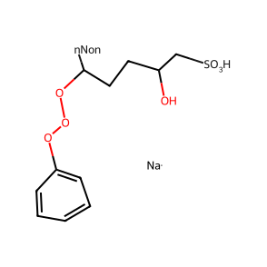 CCCCCCCCCC(CCC(O)CS(=O)(=O)O)OOOc1ccccc1.[Na]